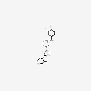 O=C(c1ccc(F)c(F)c1)N1CCC[C@H](c2noc(-c3ccncc3F)n2)C1